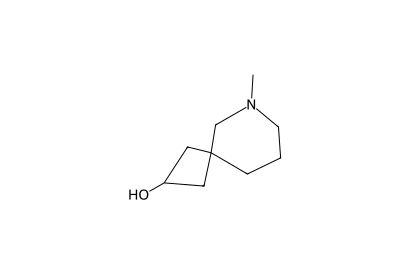 CN1CCCC2(CC(O)C2)C1